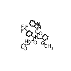 COc1ccccc1CN(C(=O)Cn1nnc2ccccc21)C(C(=O)NCC1CCCO1)c1ccc(C(F)(F)F)cc1